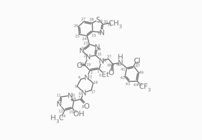 CCc1c(N2CCN(C(=O)c3ncnc(C)c3O)CC2)c(=O)n2nc(-c3cccc4sc(C)nc34)nc2n1CC(=O)Nc1ccc(C(F)(F)F)cc1Cl